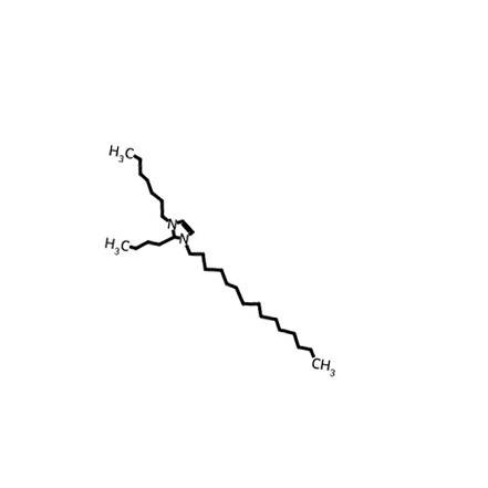 CCCCCCCCCCCCCCCN1C=CN(CCCCCCC)C1CCCC